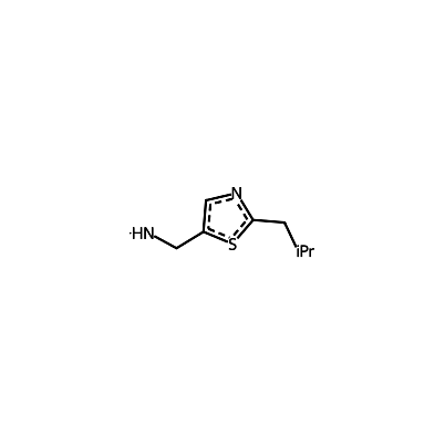 CC(C)Cc1ncc(C[NH])s1